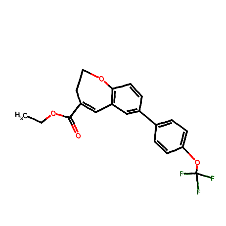 CCOC(=O)C1=Cc2cc(-c3ccc(OC(F)(F)F)cc3)ccc2OCC1